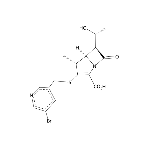 C[C@@H](O)[C@H]1C(=O)N2C(C(=O)O)=C(SCc3cncc(Br)c3)[C@H](C)[C@@H]12